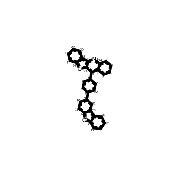 c1ccc2c(-c3ccc(-c4ccc5oc6ccccc6c5c4)cc3)c3oc4ccccc4c3nc2c1